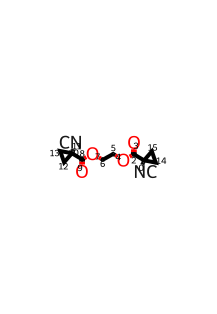 N#CC1(C(=O)OCCOC(=O)C2(C#N)CC2)CC1